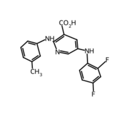 Cc1cccc(Nc2ncc(Nc3ccc(F)cc3F)cc2C(=O)O)c1